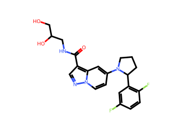 O=C(NCC(O)CO)c1cnn2ccc(N3CCCC3c3cc(F)ccc3F)cc12